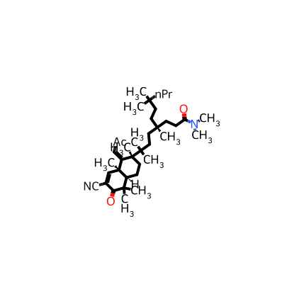 CCCC(C)(C)CC[C@](C)(CCC(=O)N(C)C)CCC(C)(C)[C@]1(C)CC[C@H]2C(C)(C)C(=O)C(C#N)=C[C@]2(C)/C1=C/C(C)=O